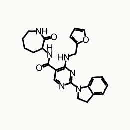 O=C(NC1CCCCNC1=O)c1cnc(N2CCc3ccccc32)nc1NCc1ccco1